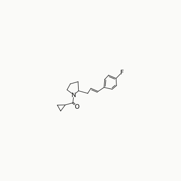 O=C(C1CC1)N1CCCC1CC=Cc1ccc(F)cc1